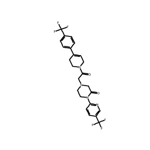 O=C(CN1CCN(c2ccc(C(F)(F)F)cn2)C(=O)C1)N1CC=C(c2ccc(C(F)(F)F)cc2)CC1